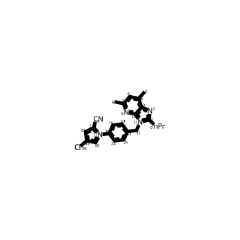 CCCc1nc2c(C)cc(C)nc2n1Cc1ccc(-n2cc(Cl)cc2C#N)cc1